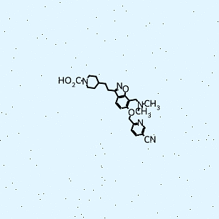 CN(C)Cc1c(OCc2ccc(C#N)cn2)ccc2c(CCC3CCN(C(=O)O)CC3)noc12